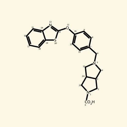 O=C(O)N1CC2CN(Cc3ccc(Oc4nc5ccccc5s4)cc3)CC2C1